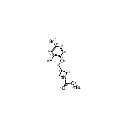 CC(C)(C)OC(=O)N1CC(COc2ccc(Br)cc2F)C1